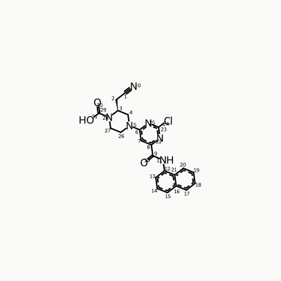 N#CC[C@H]1CN(c2cc(C(=O)Nc3cccc4ccccc34)nc(Cl)n2)CCN1C(=O)O